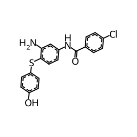 Nc1cc(NC(=O)c2ccc(Cl)cc2)ccc1Sc1ccc(O)cc1